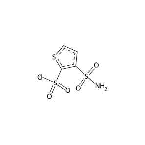 NS(=O)(=O)c1ccsc1S(=O)(=O)Cl